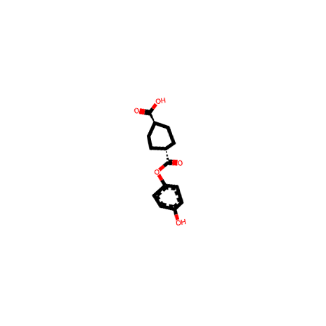 O=C(O)[C@H]1CC[C@H](C(=O)Oc2ccc(O)cc2)CC1